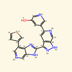 Oc1cncc(-c2cc3c(-c4nc5c(-c6ccsc6)cncc5[nH]4)n[nH]c3cn2)c1